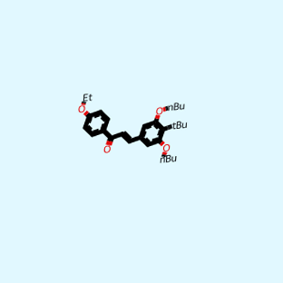 CCCCOc1cc(C=CC(=O)c2ccc(OCC)cc2)cc(OCCCC)c1C(C)(C)C